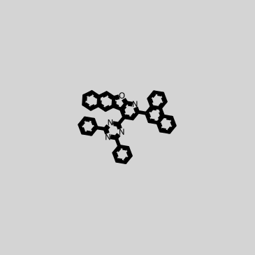 c1ccc(-c2nc(-c3ccccc3)nc(-c3cc(-c4cc5ccccc5c5ccccc45)nc4oc5cc6ccccc6cc5c34)n2)cc1